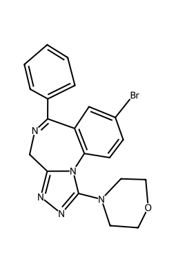 Brc1ccc2c(c1)C(c1ccccc1)=NCc1nnc(N3CCOCC3)n1-2